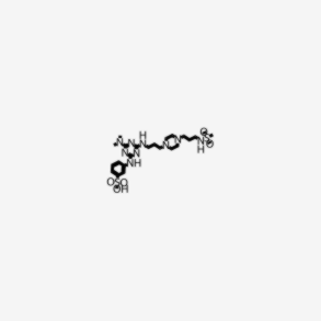 CN(C)c1nc(NCCCN2CCN(CCCNS(C)(=O)=O)CC2)nc(Nc2cccc(S(=O)(=O)O)c2)n1